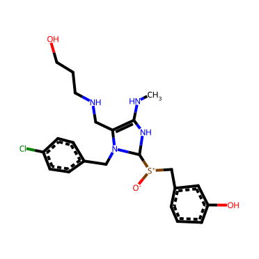 CNC1=C(CNCCCO)N(Cc2ccc(Cl)cc2)C([S+]([O-])Cc2cccc(O)c2)N1